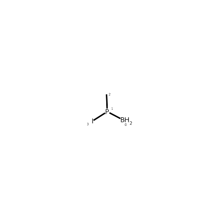 BP(C)I